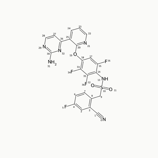 N#Cc1cc(F)ccc1CS(=O)(=O)Nc1c(F)cc(Oc2ncccc2-c2ccnc(N)n2)c(F)c1F